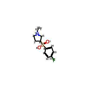 CC(C)N1CCC(S(=O)(=O)c2ccc(F)cc2)C1